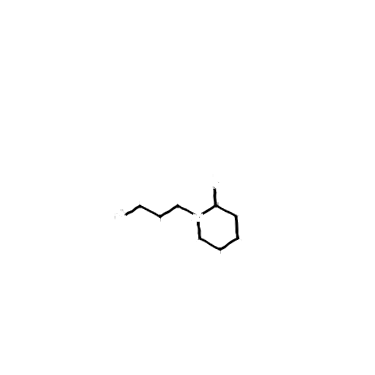 CCC1CCCCN1CCCC(C)C